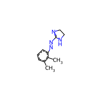 Cc1cccc(/N=N/C2=NCCN2)c1C